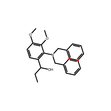 CCC(O)c1ccc(OC)c(OC)c1N(Cc1ccccc1)Cc1ccccc1